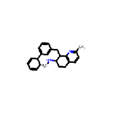 CNC1CCc2ccc(C)nc2C1Cc1cccc(C2C=CC=CC2)c1